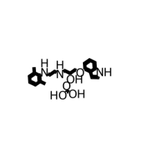 Cc1cccc(C)c1NCCNCC(O)COc1cccc2[nH]ccc12.O=C(O)O